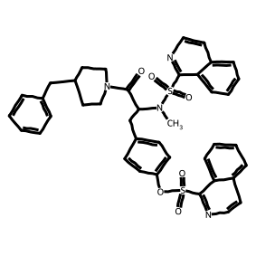 CN(C(Cc1ccc(OS(=O)(=O)c2nccc3ccccc23)cc1)C(=O)N1CCC(Cc2ccccc2)CC1)S(=O)(=O)c1nccc2ccccc12